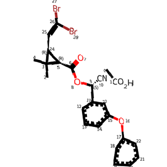 CC(=O)O.CC1(C)[C@H](C(=O)O[C@H](C#N)c2cccc(Oc3ccccc3)c2)[C@@H]1C=C(Br)Br